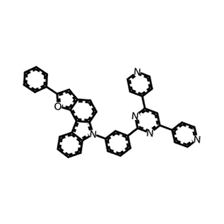 c1ccc(-c2cc3ccc4c(c5ccccc5n4-c4cccc(-c5nc(-c6ccncc6)cc(-c6ccncc6)n5)c4)c3o2)cc1